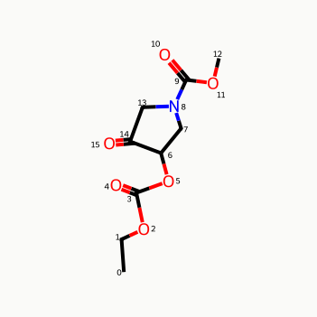 CCOC(=O)OC1CN(C(=O)OC)CC1=O